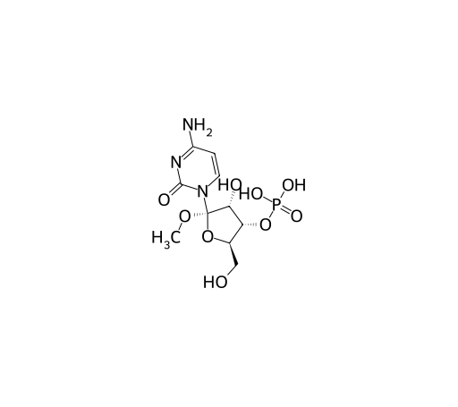 CO[C@@]1(n2ccc(N)nc2=O)O[C@H](CO)[C@@H](OP(=O)(O)O)[C@H]1O